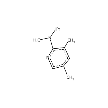 Cc1cnc(N(C)C(C)C)c(C)c1